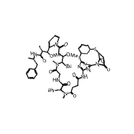 CCC(C)C(C(CC(=O)N1CCCC1C(OC)C(C)C(=O)NC(C)Cc1ccccc1)OC)N(C)C(=O)CNC(=O)C(C(C)C)N(C)C(=O)CCC(=O)Nc1nc2nc(n1)N1C(=O)CC(SC3CCCC(C3)S2)C1=O